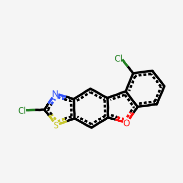 Clc1nc2cc3c(cc2s1)oc1cccc(Cl)c13